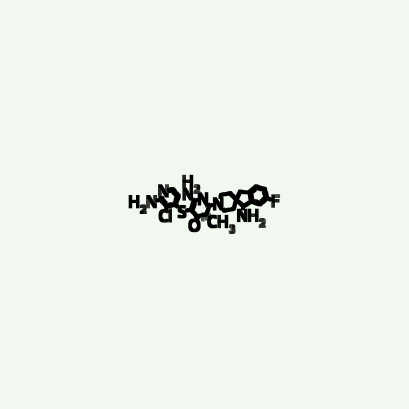 C[C@@H]1C(=O)C(Sc2ccnc(N)c2Cl)=C(N)N=C1N1CCC2(CC1)Cc1ccc(F)cc1C2N